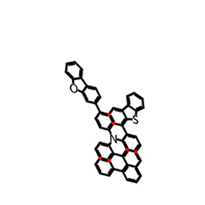 c1ccc(-c2cccc3cccc(-c4ccccc4N(c4ccc(-c5ccc6c(c5)oc5ccccc56)cc4)c4ccccc4-c4cccc5c4sc4ccccc45)c23)cc1